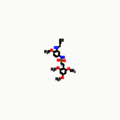 C#CCNc1cc(NS(=O)(=O)/C=C/c2c(OC)cc(OC)cc2OC)ccc1OC